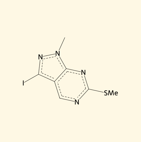 CSc1ncc2c(I)nn(C)c2n1